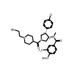 COc1ccc(C(=O)N(C)[C@H]2CN(C(=O)C3CCN(CCC(C)(C)C)CC3)C[C@@H]2c2ccc(Cl)cc2)cc1C(F)(F)F